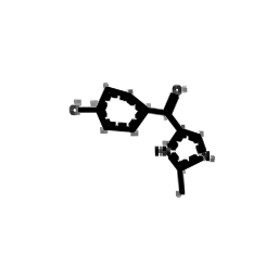 Cc1ncc(C(=O)c2ccc(Cl)cc2)[nH]1